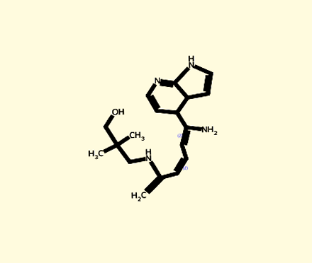 C=C(/C=C\C=C(/N)C1C=CN=C2NC=CC21)NCC(C)(C)CO